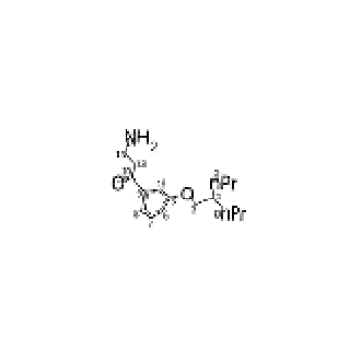 CCCC(CCC)COc1cccc(C(=O)CCN)c1